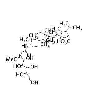 C=C(C)[C@@H]1CC[C@@](CCC(C)(C)[C@]2(C)CCC3C(C)(C)[C@@H](NC(=O)CN(OC)[C@H](O)[C@H](O)C(O)[C@H](O)CCO)CC[C@]3(C)C2CCC)(C(=O)O)C1C